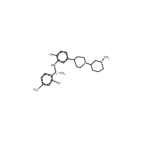 Cc1ccc([C@@H](C)Nc2cc(C3CCN(C4CCCN(C)C4)CC3)ccc2Cl)c(Cl)c1